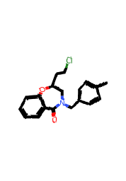 Cc1ccc(CN2CC(CCCl)Oc3ccccc3C2=O)cc1